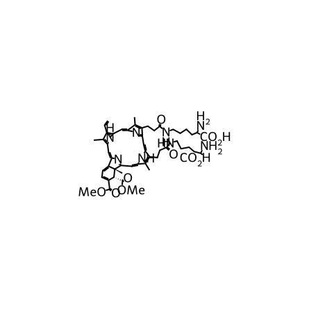 C=Cc1c(C)c2cc3nc(cc4[nH]c(cc5nc(cc1[nH]2)C(C)=C5CCC(=O)NCCCCC(N)C(=O)O)c(CCC(=O)NCCCCC(N)C(=O)O)c4C)[C@@]1(C)C3=CC=C(C(=O)OC)[C@H]1C(=O)OC